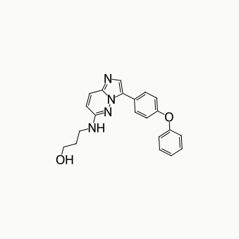 OCCCNc1ccc2ncc(-c3ccc(Oc4ccccc4)cc3)n2n1